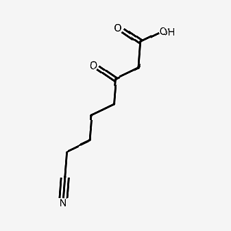 N#CCCCCC(=O)CC(=O)O